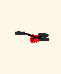 CCCCCCCCCCCCCCCCCCOC[C@H](COP(=O)(O)O)OCc1cc(OC)c(C#N)c(OC)c1